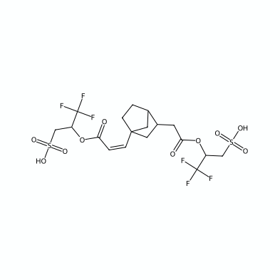 O=C(/C=C\C12CCC(C1)C(CC(=O)OC(CS(=O)(=O)O)C(F)(F)F)C2)OC(CS(=O)(=O)O)C(F)(F)F